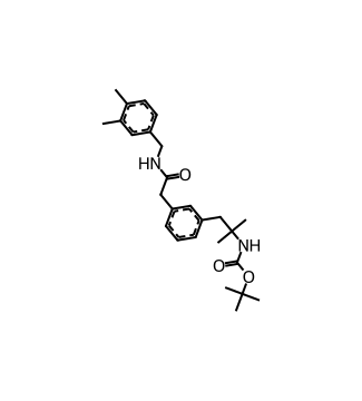 Cc1ccc(CNC(=O)Cc2cccc(CC(C)(C)NC(=O)OC(C)(C)C)c2)cc1C